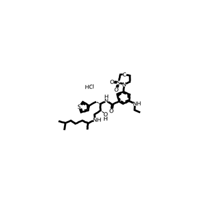 CCNc1cc(C(=O)N[C@@H](Cc2ccsc2)[C@H](O)CNC(C)CCCC(C)C)cc(N2CCCCS2(=O)=O)c1.Cl